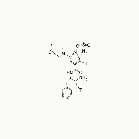 CC1CC1CN(C)c1cc(C(=O)N[C@@H](Cc2ccccc2)C(N)CF)c(Cl)c(N(C)S(C)(=O)=O)n1